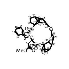 COC(=O)C[C@H]1N(Cc2ccccc2)S(=O)(=O)CC23CCC(C4CC(OC5CC6C7CCC(CS1(=O)=O)(C6O5)C7(C)C)OC42)C3(C)C